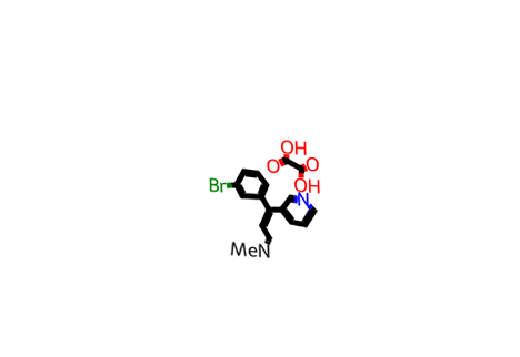 CNC/C=C(\c1cccnc1)c1cccc(Br)c1.O=C(O)C(=O)O